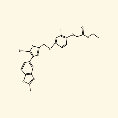 CCOC(=O)COc1ccc(OCc2nc(-c3ccc4oc(C)nc4c3)c(Br)s2)cc1C